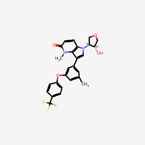 Cc1cc(Oc2ccc(C(F)(F)F)cc2)cc(-c2cn([C@H]3COC[C@@H]3O)c3ccc(=O)n(C)c23)c1